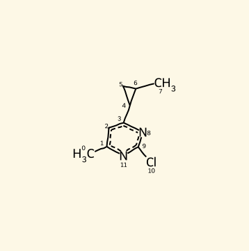 Cc1cc(C2CC2C)nc(Cl)n1